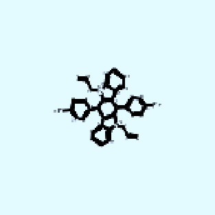 C=CCn1c2c(c3ccccc31)C(c1ccc(F)cc1)c1c(c3ccccc3n1CC=C)C2c1ccc(F)cc1